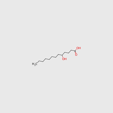 CCCCCCCCC(O)CCCC(=O)O